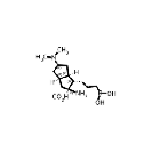 CN(C)[C@@H]1C[C@@H]2C[C@@](N)(C(=O)O)[C@@H](CCCB(O)O)[C@@H]2C1